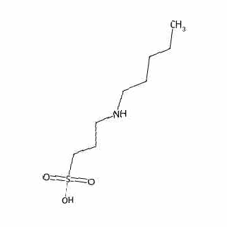 CCCCCNCCCS(=O)(=O)O